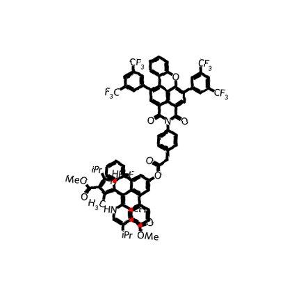 COC(=O)C1=C(C)/C(=C(\c2c(-c3ccccc3)cc(OC(=O)Cc3ccc(-n4c(=O)c5cc(-c6cc(C(F)(F)F)cc(C(F)(F)F)c6)c6oc7ccccc7c7c(-c8cc(C(F)(F)F)cc(C(F)(F)F)c8)cc(c4=O)c5c67)cc3)cc2-c2ccccc2)c2c(C)c(C(=O)OC)c(C(C)C)n2BF)NC=C1C(C)C